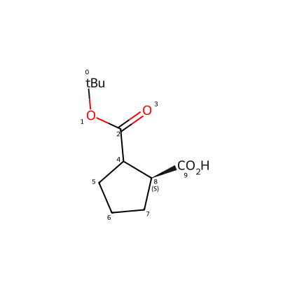 CC(C)(C)OC(=O)C1CCC[C@@H]1C(=O)O